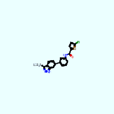 CCOC(=O)c1n[nH]c2cc(-c3cccc(NC(=O)c4ccc(Br)s4)c3)ccc12